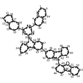 c1ccc2cc(-c3nc(-c4ccc5ccccc5c4)nc(-n4c5ccccc5c5cc(-c6ccc7c(c6)c6ccccc6n7-c6cccc7c6oc6ccccc67)ccc54)n3)ccc2c1